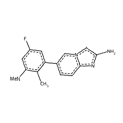 CNc1cc(F)cc(-c2ccc3nc(N)[c]n3c2)c1C